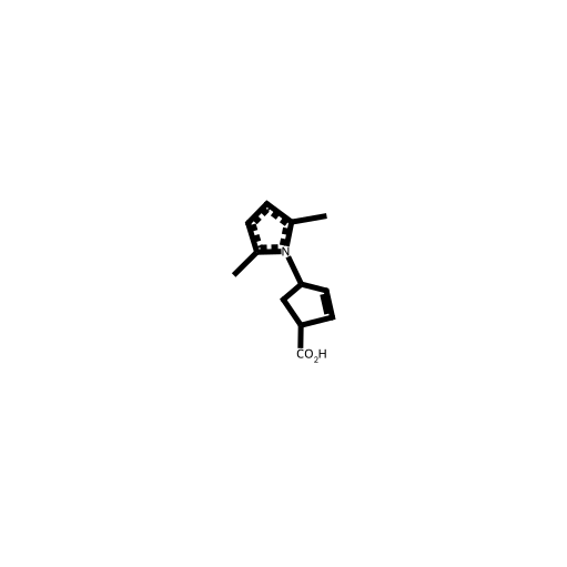 Cc1ccc(C)n1C1C=CC(C(=O)O)C1